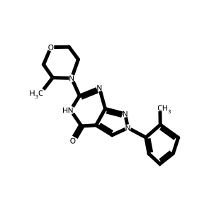 Cc1ccccc1-n1cc2c(=O)[nH]c(N3CCOCC3C)nc2n1